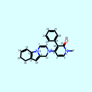 Cn1ccc(N2C=Cn3c(cc4c3C=CCC4)C2)c(-c2ccccc2)c1=O